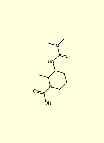 CC1C(NC(=O)N(C)C)CCCN1C(=O)O